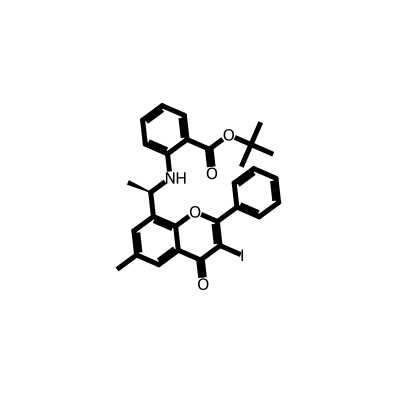 Cc1cc([C@@H](C)Nc2ccccc2C(=O)OC(C)(C)C)c2oc(-c3ccccc3)c(I)c(=O)c2c1